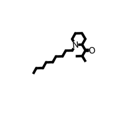 CCCCCCCCCN1CCCCC1C(=O)C(C)C